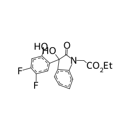 CCOC(=O)CN1C(=O)C(O)(c2cc(F)c(F)cc2O)c2ccccc21